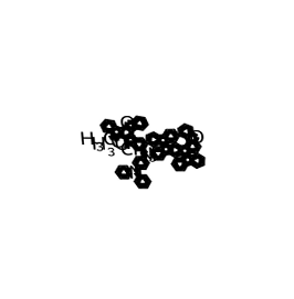 CC1(C)c2ccccc2-c2c1c1c(c3c2oc2ccccc23)-c2ccc(N(c3ccc(N(c4ccccc4)c4ccccc4)cc3)c3ccc4c(c3)C3(c5ccccc5-c5ccccc53)c3cc5c(cc3-4)C3(c4ccccc4-c4ccccc43)c3ccc4oc6ccccc6c4c3-5)cc2C1(C)C